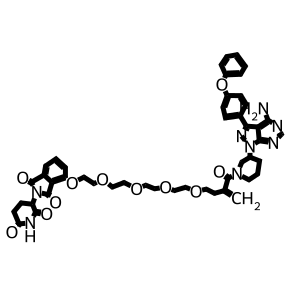 C=C(CCOCCOCCOCCOCCOc1cccc2c1C(=O)N(C1CCC(=O)NC1=O)C2=O)C(=O)N1CCCC(n2nc(-c3ccc(Oc4ccccc4)cc3)c3c(N)ncnc32)C1